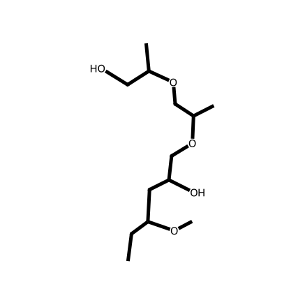 CCC(CC(O)COC(C)COC(C)CO)OC